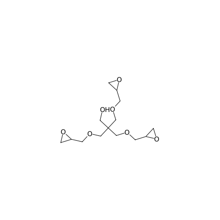 OCC(COCC1CO1)(COCC1CO1)COCC1CO1